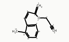 C#CCOC(=C)/C=C\c1ccccc1C